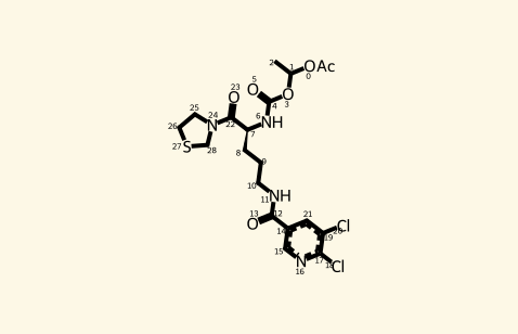 CC(=O)OC(C)OC(=O)N[C@@H](CCCNC(=O)c1cnc(Cl)c(Cl)c1)C(=O)N1CCSC1